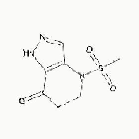 CS(=O)(=O)N1CCC(=O)c2[nH]ncc21